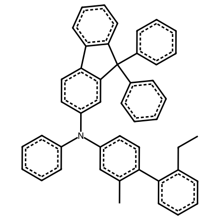 CCc1ccccc1-c1ccc(N(c2ccccc2)c2ccc3c(c2)C(c2ccccc2)(c2ccccc2)c2ccccc2-3)cc1C